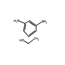 CCO.Nc1cccc(N)c1